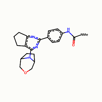 CNC(=O)Nc1ccc(-c2nc3c(c(N4C5CCC4COC5)n2)CCC3)cc1